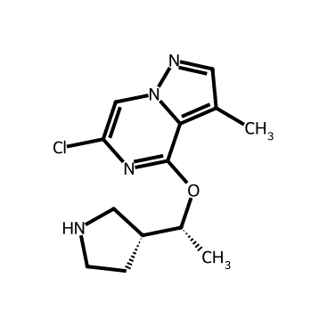 Cc1cnn2cc(Cl)nc(O[C@H](C)[C@@H]3CCNC3)c12